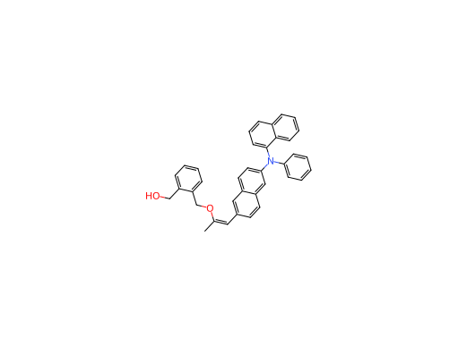 CC(=Cc1ccc2cc(N(c3ccccc3)c3cccc4ccccc34)ccc2c1)OCc1ccccc1CO